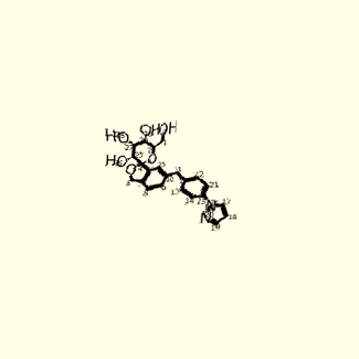 OC[C@H]1O[C@]2(OCc3ccc(Cc4ccc(-n5cccn5)cc4)cc32)[C@H](O)[C@@H](O)[C@@H]1O